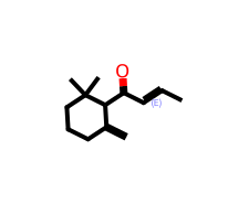 C=C1CCCC(C)(C)C1C(=O)/C=C/C